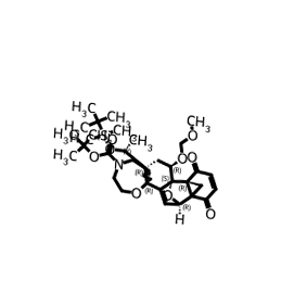 COCO[C@@H]1C[C@@]23CN(C(=O)OC(C)(C)C)CCO[C@@]2(CC=C3[C@@H](C)O[Si](C)(C)C(C)(C)C)C2=C[C@H]3O[C@]21[C@@]12CC31C(=O)C=CC2=O